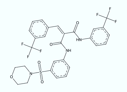 O=C(Nc1cccc(C(F)(F)F)c1)C(=Cc1cccc(C(F)(F)F)c1)C(=O)Nc1cccc(S(=O)(=O)N2CCOCC2)c1